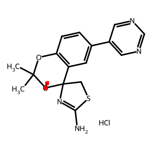 CC1(C)Oc2ccc(-c3cncnc3)cc2C2(CSC(N)=N2)C12COC2.Cl